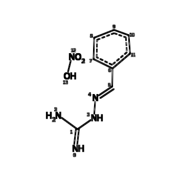 N=C(N)NN=Cc1ccccc1.O=[N+]([O-])O